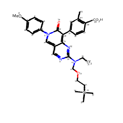 COc1ccc(-n2cc3cnc(N(COCC[Si](C)(C)C)CC(F)(F)F)nc3c(-c3ccc(C(=O)O)c(C)c3)c2=O)cc1